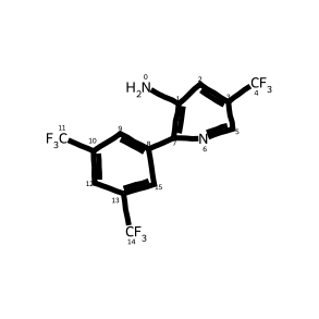 Nc1cc(C(F)(F)F)cnc1-c1cc(C(F)(F)F)cc(C(F)(F)F)c1